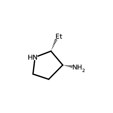 CC[C@H]1NCC[C@H]1N